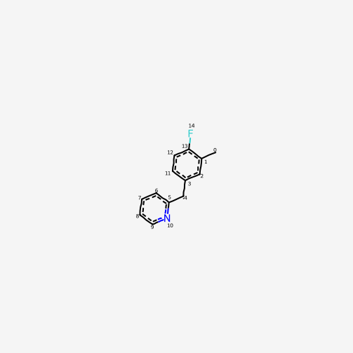 Cc1cc([CH]c2ccccn2)ccc1F